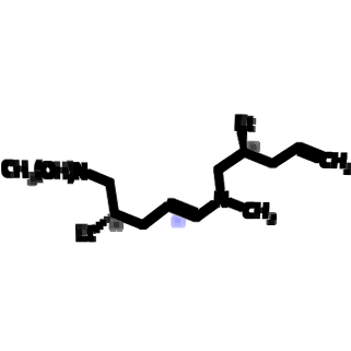 C=CC[C@H](CC)CN(C)/C=C/C[C@H](CC)CN(C)O